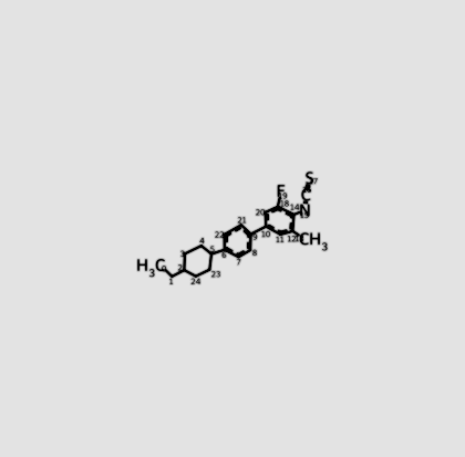 CCC1CCC(c2ccc(-c3cc(C)c(N=C=S)c(F)c3)cc2)CC1